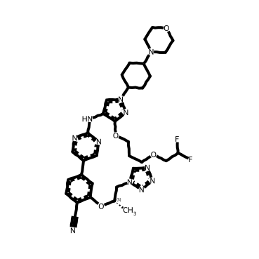 C[C@@H](Cn1cnnn1)Oc1cc(-c2cnc(Nc3cn(C4CCC(N5CCOCC5)CC4)nc3OCCCOCC(F)F)nc2)ccc1C#N